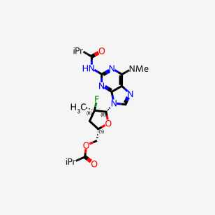 CNc1nc(NC(=O)C(C)C)nc2c1ncn2[C@@H]1O[C@H](COC(=O)C(C)C)C[C@@]1(C)F